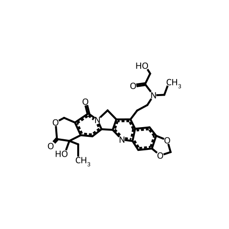 CCN(CCc1c2c(nc3cc4c(cc13)OCO4)-c1cc3c(c(=O)n1C2)COC(=O)C3(O)CC)C(=O)CO